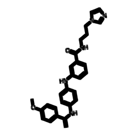 C=C(Nc1ccc(Nc2cccc(C(=O)NCCCn3ccnc3)c2)cc1)c1ccc(OC)cc1